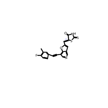 Cc1cc(C#Cc2cncc3cc(/C=C4\SC(=S)NC4=O)oc23)ccc1F